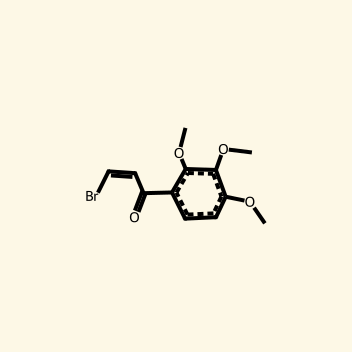 COc1ccc(C(=O)/C=C\Br)c(OC)c1OC